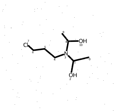 CC(O)N(CCCCl)C(C)O